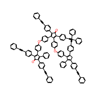 O=C1C(c2ccc(C#Cc3ccccc3)cc2)=C(c2ccccc2)C(c2ccc(Oc3ccc(C4=C(c5ccc(C#Cc6ccccc6)cc5)C(=O)C(c5ccc(C#Cc6ccccc6)cc5)=C4c4ccc(Oc5ccc(C6=C(c7ccc(C#Cc8ccccc8)cc7)CC(c7ccc(C#Cc8ccccc8)cc7)=C6c6ccccc6)cc5)cc4)cc3)cc2)=C1c1ccc(C#Cc2ccccc2)cc1